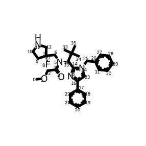 COCC(=O)N(C[C@@]1(F)CCNC1)[C@@H](c1nc(-c2ccccc2)cn1Cc1ccccc1)C(C)(C)C